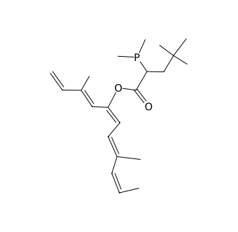 C=C/C(C)=C/C(=C\C=C(C)\C=C/C)OC(=O)C(CC(C)(C)C)P(C)C